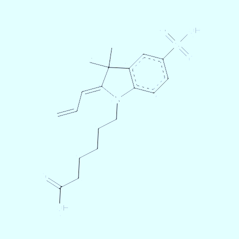 C=C/C=C1\N(CCCCCC(=O)O)c2ccc(S(=O)(=O)O)cc2C1(C)C